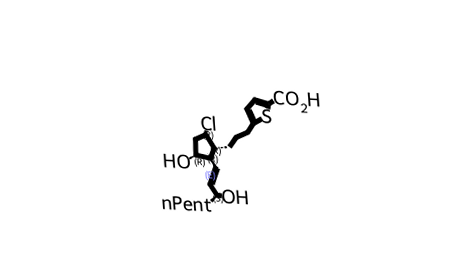 CCCCC[C@H](O)/C=C/[C@@H]1[C@@H](CCCc2ccc(C(=O)O)s2)[C@H](Cl)C[C@H]1O